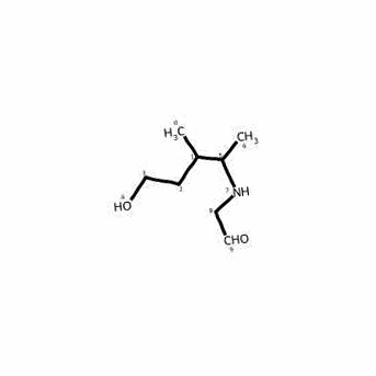 CC(CCO)C(C)NCC=O